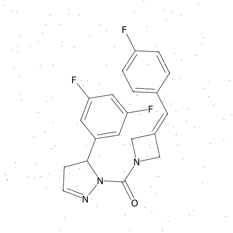 O=C(N1CC(=Cc2ccc(F)cc2)C1)N1N=CCC1c1cc(F)cc(F)c1